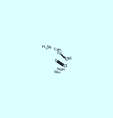 [CaH2].[Mn].[NaH].[OH][Fe].[O]=[Ti].[SbH3]